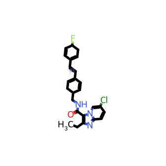 CCc1nc2ccc(Cl)cn2c1C(=O)NCC1C=CC(/C=C/C2=CCC(F)C=C2)=CC1